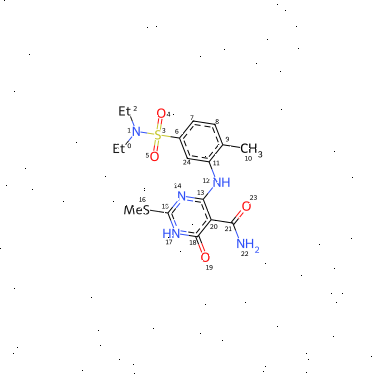 CCN(CC)S(=O)(=O)c1ccc(C)c(Nc2nc(SC)[nH]c(=O)c2C(N)=O)c1